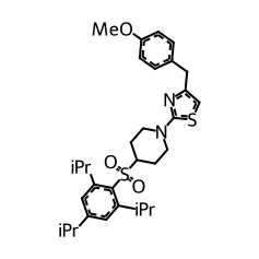 COc1ccc(Cc2csc(N3CCC(S(=O)(=O)c4c(C(C)C)cc(C(C)C)cc4C(C)C)CC3)n2)cc1